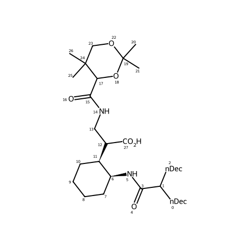 CCCCCCCCCCC(CCCCCCCCCC)C(=O)N[C@H]1CCCC[C@H]1C(CNC(=O)C1OC(C)(C)OCC1(C)C)C(=O)O